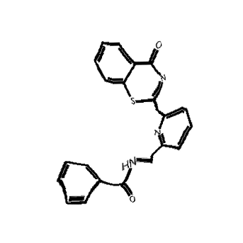 O=C(NCc1cccc(-c2nc(=O)c3ccccc3s2)n1)c1ccccc1